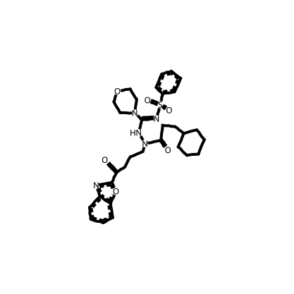 O=C(CCCN(NC(=NS(=O)(=O)c1ccccc1)N1CCOCC1)C(=O)CCC1CCCCC1)c1nc2ccccc2o1